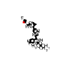 CC(C)(C)OC(=O)N[C@H](c1cn2ncc([C@H](NC(=O)C[C@]34C[C@@](F)(C3)C4)C3CC3)cc2n1)C1CCC(F)(F)CC1